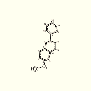 COc1ccc2cc(-c3ccncc3)ccc2c1